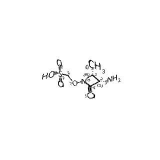 C[C@@H]1[C@H](N)C(=O)N1OCS(=O)(=O)O